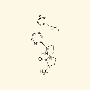 Cc1cscc1-c1ccnc([C@H]2CC[C@@]3(CCN(C)C3=O)N2)c1